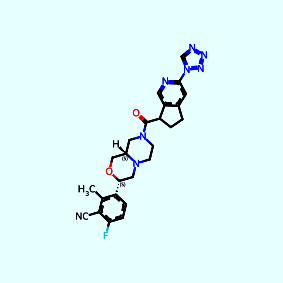 Cc1c([C@H]2CN3CCN(C(=O)C4CCc5cc(-n6cnnn6)ncc54)C[C@H]3CO2)ccc(F)c1C#N